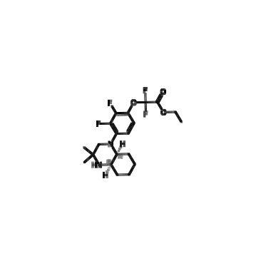 CCOC(=O)C(F)(F)Oc1ccc(N2CC(C)(C)N[C@@H]3CCCC[C@@H]32)c(F)c1F